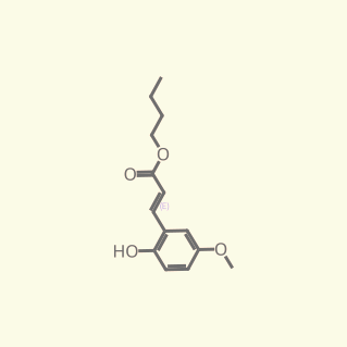 CCCCOC(=O)/C=C/c1cc(OC)ccc1O